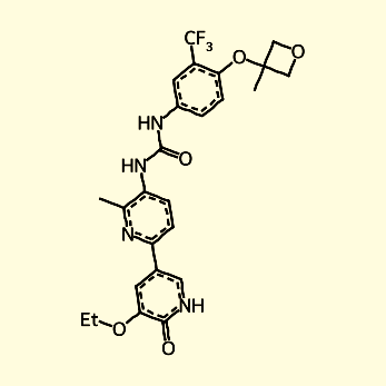 CCOc1cc(-c2ccc(NC(=O)Nc3ccc(OC4(C)COC4)c(C(F)(F)F)c3)c(C)n2)c[nH]c1=O